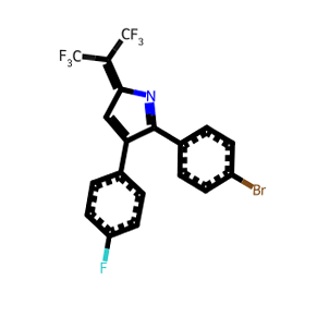 Fc1ccc(C2=CC(=C(C(F)(F)F)C(F)(F)F)N=C2c2ccc(Br)cc2)cc1